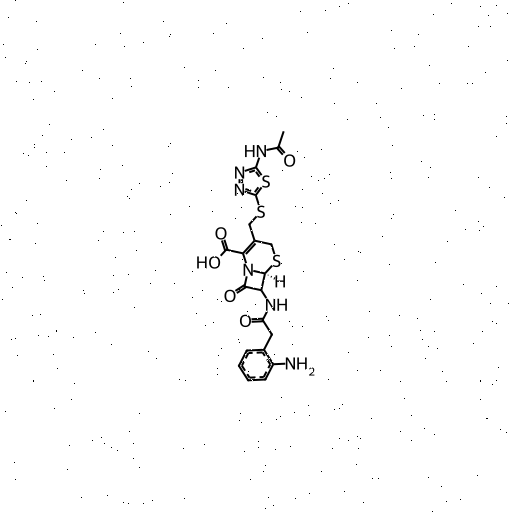 CC(=O)Nc1nnc(SCC2=C(C(=O)O)N3C(=O)C(NC(=O)Cc4ccccc4N)[C@@H]3SC2)s1